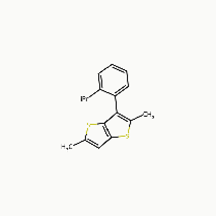 Cc1cc2sc(C)c(-c3ccccc3C(C)C)c2s1